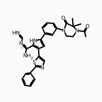 CC(=O)N1CCN(c2cccc(-c3cc(-c4cnc(-c5ccccc5)s4)c(/C(N)=N\C=N)[nH]3)c2)C(=O)C1(C)C